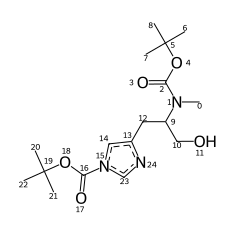 CN(C(=O)OC(C)(C)C)C(CO)Cc1cn(C(=O)OC(C)(C)C)cn1